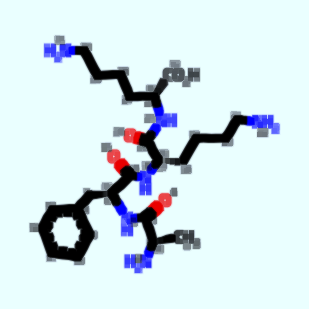 C[C@@H](N)C(=O)N[C@@H](Cc1ccccc1)C(=O)N[C@@H](CCCCN)C(=O)N[C@@H](CCCCN)C(=O)O